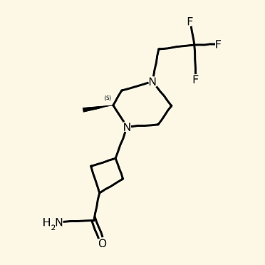 C[C@H]1CN(CC(F)(F)F)CCN1C1CC(C(N)=O)C1